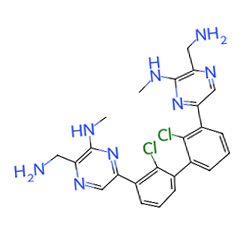 CNc1nc(-c2cccc(-c3cccc(-c4cnc(CN)c(NC)n4)c3Cl)c2Cl)cnc1CN